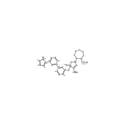 CCCCC1=CN(C2CCCCCC2C(=O)O)C[N+]1([O-])Cc1cc(-c2cccc(-c3nnn[nH]3)c2)ccn1